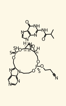 CC(C)C(=O)Nc1nc2c(ncn2[C@@H]2O[C@@H]3COP(=S)(OCCC#N)OCCn4c(nc5cncnc54)COP(=S)(S)O[C@@H]2[C@@H]3F)c(=O)[nH]1